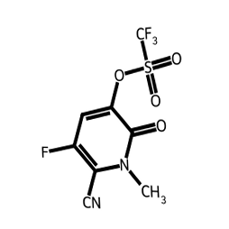 Cn1c(C#N)c(F)cc(OS(=O)(=O)C(F)(F)F)c1=O